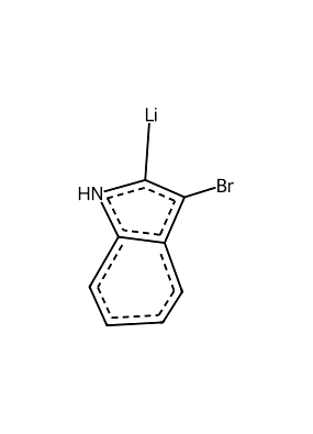 [Li][c]1[nH]c2ccccc2c1Br